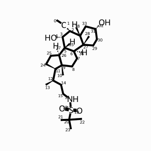 CC[C@H]1[C@@H](O)[C@@H]2[C@H](CC[C@]3(C)[C@@H]([C@H](C)CCNS(=O)(=O)C(C)(C)C)CC[C@@H]23)[C@@]2(C)CC[C@@H](O)C[C@@H]12